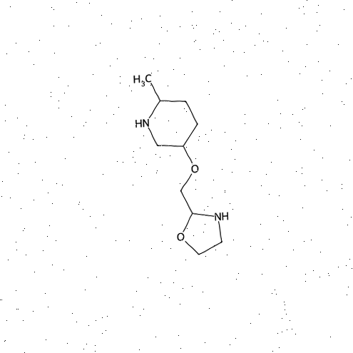 CC1CCC(OCC2NCCO2)CN1